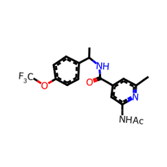 CC(=O)Nc1cc(C(=O)NC(C)c2ccc(OC(F)(F)F)cc2)cc(C)n1